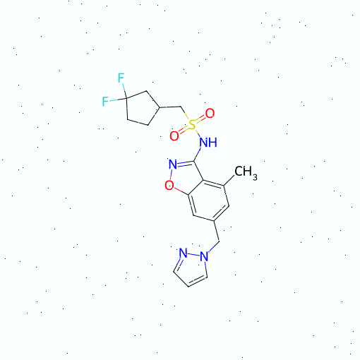 Cc1cc(Cn2cccn2)cc2onc(NS(=O)(=O)CC3CCC(F)(F)C3)c12